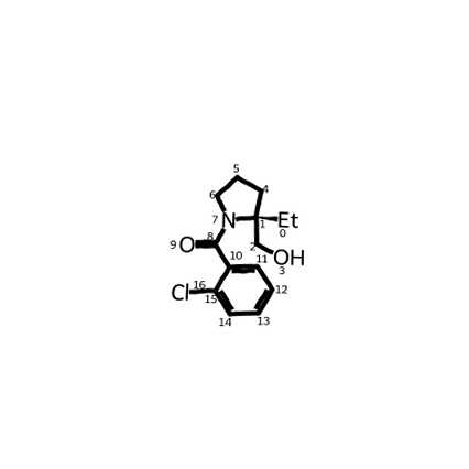 CC[C@]1(CO)CCCN1C(=O)c1ccccc1Cl